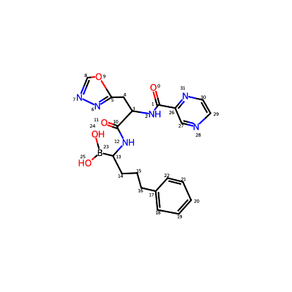 O=C(NC(Cc1nnco1)C(=O)NC(CCCc1ccccc1)B(O)O)c1cnccn1